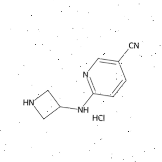 Cl.N#Cc1ccc(NC2CNC2)nc1